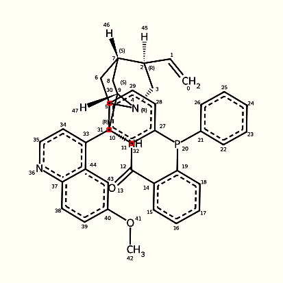 C=C[C@H]1C[N@]2CC[C@H]1C[C@H]2[C@H](NC(=O)c1ccccc1P(c1ccccc1)c1ccccc1)c1ccnc2ccc(OC)cc12